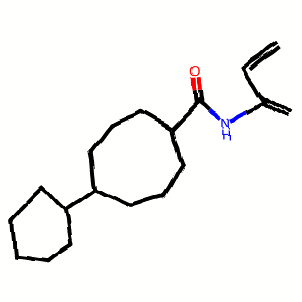 C=CC(=C)NC(=O)C1CCCC(C2CCCCC2)CCC1